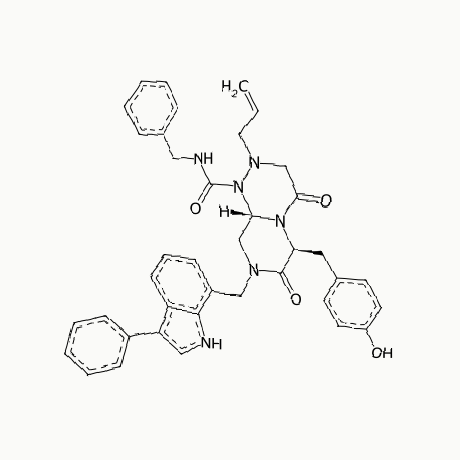 C=CCN1CC(=O)N2[C@@H](Cc3ccc(O)cc3)C(=O)N(Cc3cccc4c(-c5ccccc5)c[nH]c34)C[C@@H]2N1C(=O)NCc1ccccc1